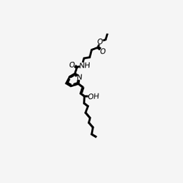 CCCCCCCCC(O)C=Cc1cccc(C(=O)NCCCC(=O)OCC)n1